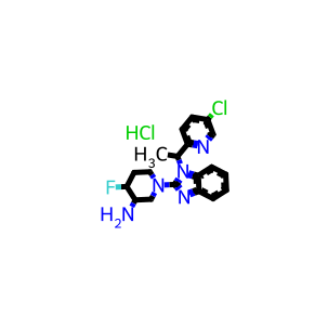 CC(c1ccc(Cl)cn1)n1c(N2CCC(F)C(N)C2)nc2ccccc21.Cl